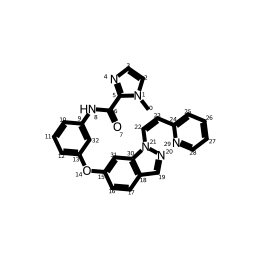 Cn1ccnc1C(=O)Nc1cccc(Oc2ccc3cnn(C=Cc4ccccn4)c3c2)c1